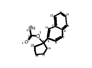 CCC(C)C(=O)OC1(c2ccc3ccccc3c2)CCCC1